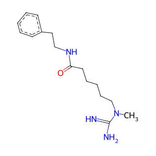 CN(CCCCCC(=O)NCCc1ccccc1)C(=N)N